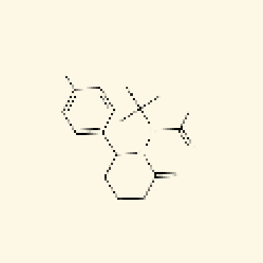 CC(C)(C)N(C(=O)O)N1C(=O)CCCC1c1ccc(F)cc1